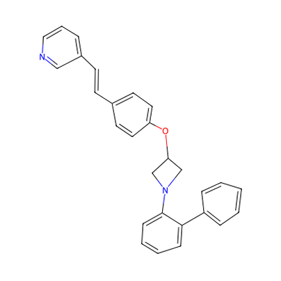 C(=C\c1cccnc1)/c1ccc(OC2CN(c3ccccc3-c3ccccc3)C2)cc1